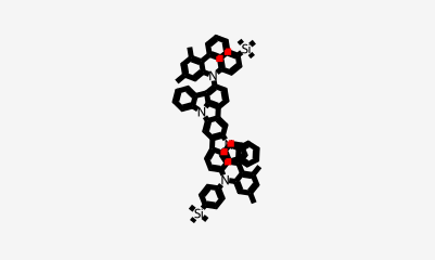 Cc1cc(C)c(-c2ccccc2)c(N(c2ccc([Si](C)(C)C)cc2)c2ccc3c4cc5c(cc4n4c6ccccc6c2c34)c2ccc(N(c3ccc([Si](C)(C)C)cc3)c3cc(C)cc(C)c3-c3ccccc3)c3c4ccccc4n5c23)c1